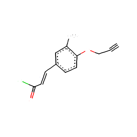 C#CCOc1ccc(/C=C/C(=O)Cl)cc1OC